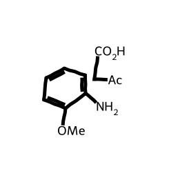 CC(=O)CC(=O)O.COc1ccccc1N